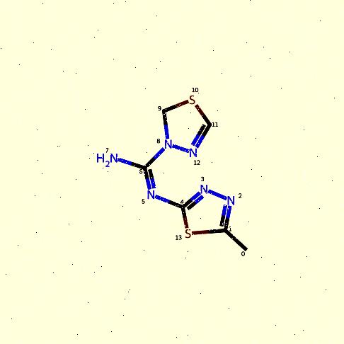 Cc1nnc(N=C(N)N2CSC=N2)s1